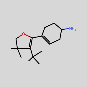 CC(C)(C)C1=C(C2=CCC(N)CC2)OCC1(C)C